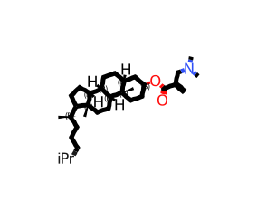 C=C(CN(C)C)C(=O)O[C@H]1CC[C@@]2(C)[C@H](CC[C@@H]3[C@H]2CC[C@]2(C)C([C@H](C)CCCC(C)C)CC[C@H]32)C1